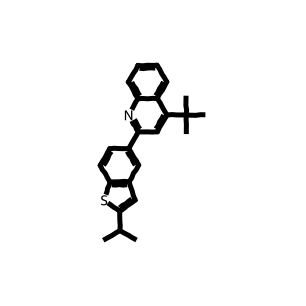 CC(C)c1cc2cc(-c3cc(C(C)(C)C)c4ccccc4n3)ccc2s1